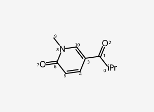 CC(C)C(=O)c1ccc(=O)n(C)c1